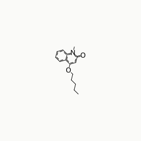 CCCCCOc1cc(=O)n(C)c2ccccc12